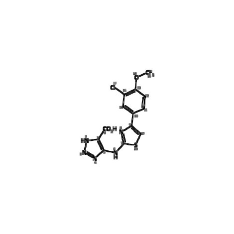 O=C(O)c1[nH]nnc1Nc1nc(-c2ccc(OC(F)(F)F)c(Cl)c2)cs1